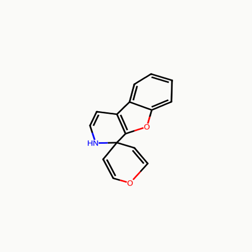 C1=Cc2c(oc3ccccc23)C2(C=COC=C2)N1